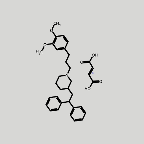 COc1ccc(CCCN2CCCC(CC(c3ccccc3)c3ccccc3)C2)cc1OC.O=C(O)/C=C/C(=O)O